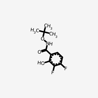 CC(C)(C)ONC(=O)c1ccc(F)c(F)c1O